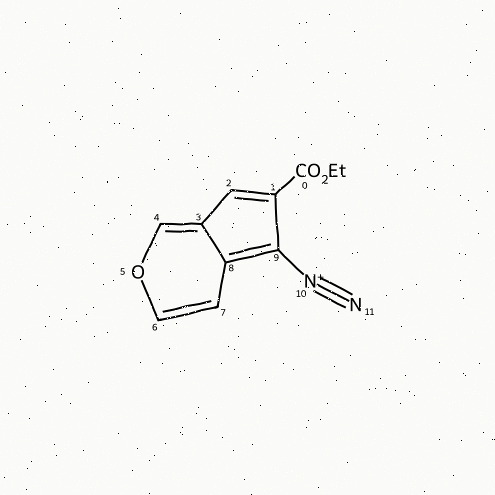 CCOC(=O)c1cc2coccc-2c1[N+]#N